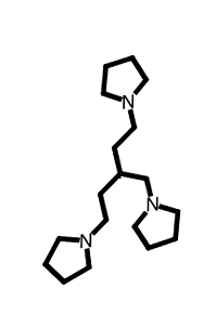 C1CCN(CC[C](CCN2CCCC2)CN2CCCC2)C1